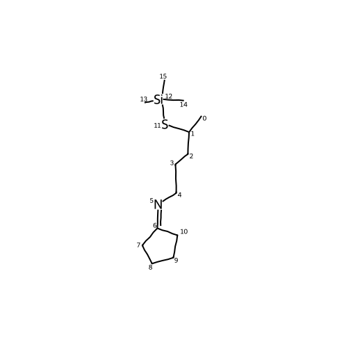 CC(CCCN=C1CCCC1)S[Si](C)(C)C